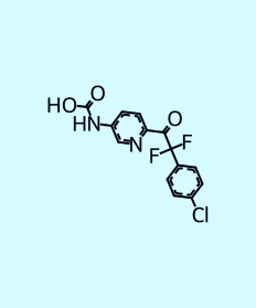 O=C(O)Nc1ccc(C(=O)C(F)(F)c2ccc(Cl)cc2)nc1